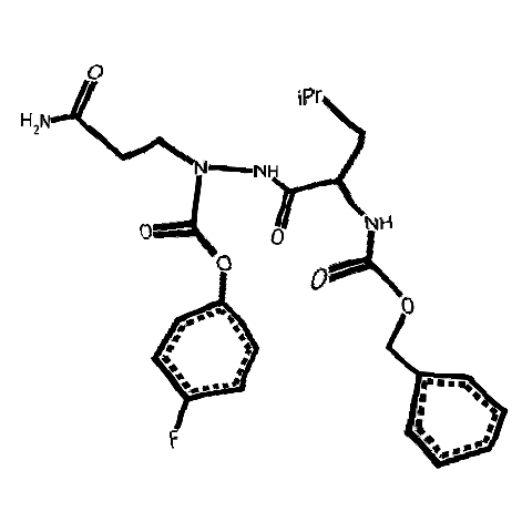 CC(C)CC(NC(=O)OCc1ccccc1)C(=O)NN(CCC(N)=O)C(=O)Oc1ccc(F)cc1